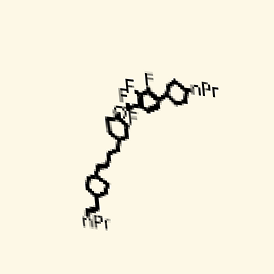 CCC/C=C/C1CCC(/C=C/CCC2CCC(OC(F)(F)c3ccc(C4CCC(CCC)CC4)c(F)c3F)CC2)CC1